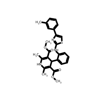 COC(=O)C1=C(C)NC(C)=C(C(=O)OC)C1c1ccccc1Nc1nc(-c2cccc(C)c2)cs1